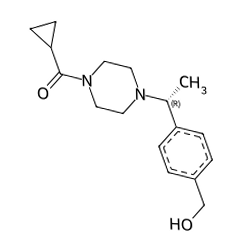 C[C@H](c1ccc(CO)cc1)N1CCN(C(=O)C2CC2)CC1